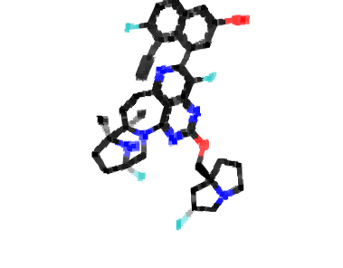 C#Cc1c(F)ccc2cc(O)cc(-c3nc4c5c(nc(OC[C@@]67CCCN6C[C@H](F)C7)nc5c3F)N3C[C@@]5(F)CC[C@H](N5)[C@H]3CC4)c12